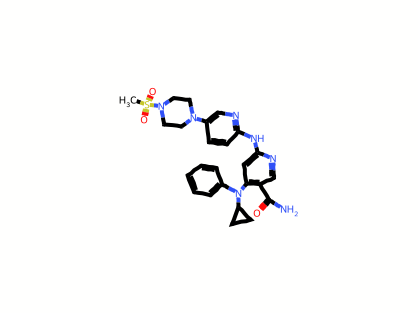 CS(=O)(=O)N1CCN(c2ccc(Nc3cc(N(c4ccccc4)C4CC4)c(C(N)=O)cn3)nc2)CC1